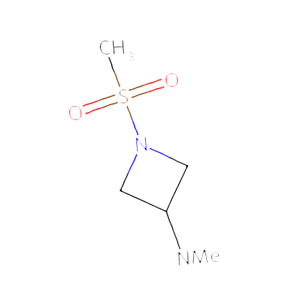 CNC1CN(S(C)(=O)=O)C1